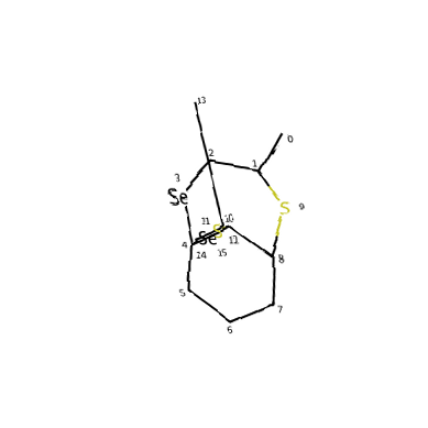 CC1C[Se]C23CCCC(S1)C2SC(C)C[Se]3